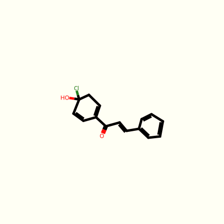 O=C(C=Cc1ccccc1)C1=CCC(O)(Cl)C=C1